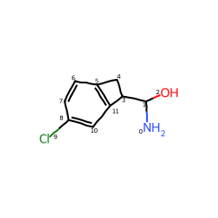 NC(O)C1Cc2ccc(Cl)cc21